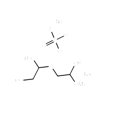 COC(C)COC(C)CO.O=P([O-])([O-])F.[Na+].[Na+]